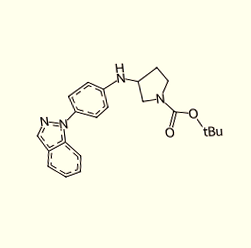 CC(C)(C)OC(=O)N1CCC(Nc2ccc(-n3ncc4ccccc43)cc2)C1